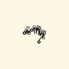 CC(C)C(C(=O)C(F)(F)C(=O)CCCc1ccccc1)N1CCC[C@H]1C(=O)NC(=O)[C@@H](NC(=O)c1ccc(C(=O)NS(=O)(=O)c2ccccc2)cc1)C(C)C